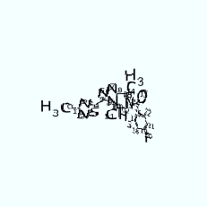 Cc1nsc(-c2nnc3n2[C@H](C)CN(C(=O)c2ccc(F)cc2)[C@@H]3C)n1